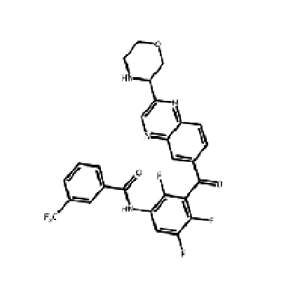 O=C(Nc1cc(F)c(F)c(C(=O)c2ccc3nc(C4COCCN4)cnc3c2)c1F)c1cccc(C(F)(F)F)c1